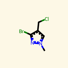 Cn1cc(CCl)c(Br)n1